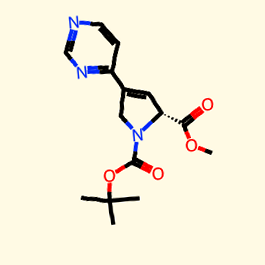 COC(=O)[C@H]1C=C(c2ccncn2)CN1C(=O)OC(C)(C)C